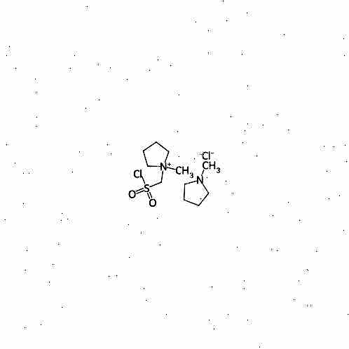 CN1CCCC1.C[N+]1(CS(=O)(=O)Cl)CCCC1.[Cl-]